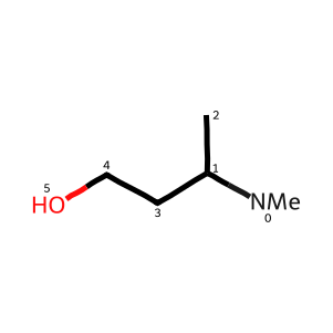 CNC(C)CCO